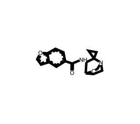 O=C(NC1C2CCN(CC2)C12CC2)c1ccc2occc2c1